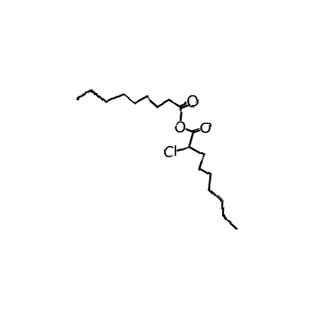 CCCCCCCCC(=O)OC(=O)C(Cl)CCCCCCC